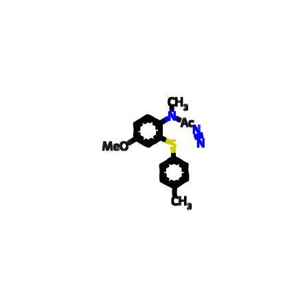 COc1ccc(N(C)C(C)=O)c(Sc2ccc(C)cc2)c1.N#N